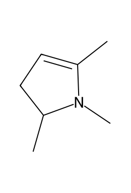 CC1=CCC(C)N1C